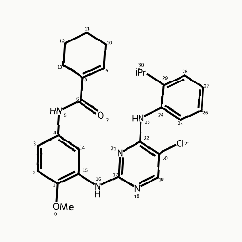 COc1ccc(NC(=O)C2=CCCCC2)cc1Nc1ncc(Cl)c(Nc2ccccc2C(C)C)n1